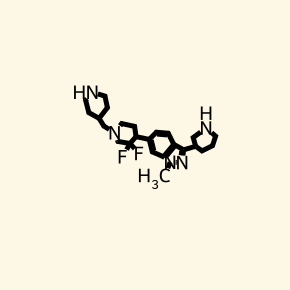 Cn1nc(C2CCCNC2)c2ccc(C3CCN(CC4CCNCC4)CC3(F)F)cc21